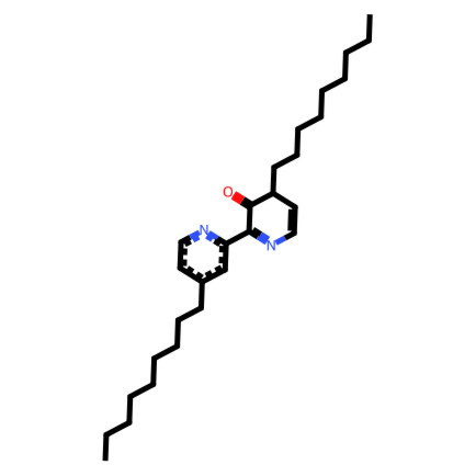 CCCCCCCCCc1ccnc(C2=NC=CC(CCCCCCCCC)C2=O)c1